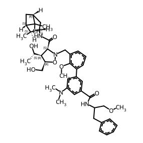 COCC(Cc1ccccc1)NC(=O)c1cc(-c2cccc(CN3O[C@@H](CO)[C@@H]([C@H](C)O)[C@H]3C(=O)N[C@H]3C[C@H]4C[C@@H]([C@@H]3C)C4(C)C)c2OC)cc(N(C)C)c1